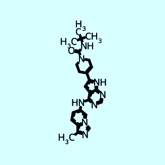 Cc1ncn2cc(Nc3ncnc4[nH]c(C5=CCN(C(=O)NC(C)(C)C)CC5)cc34)ccc12